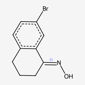 O/N=C1\CCCc2ccc(Br)cc21